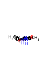 COc1ccc(Nc2nccc(NCC(O)c3ccc(C)cc3)n2)cc1